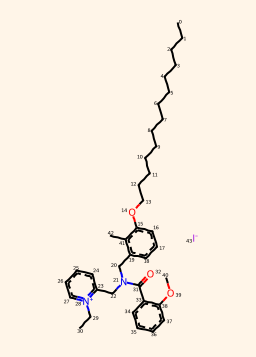 CCCCCCCCCCCCCCOc1cccc(CN(Cc2cccc[n+]2CC)C(=O)c2ccccc2OC)c1C.[I-]